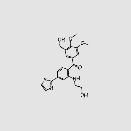 COc1cc(C(=O)c2ccc(-c3nccs3)cc2NCCO)cc(CO)c1OC